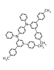 Cc1ccc(-c2cc(-c3ccc(C)cc3)cc(N(c3ccccc3)c3ccc(N(c4ccccc4)c4cc(-c5ccc(C)cc5)cc(-c5ccc(C)cc5)c4)cc3)c2)cc1